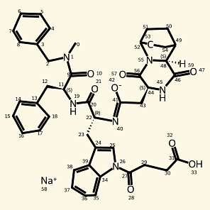 CN(Cc1ccccc1)C(=O)[C@H](Cc1ccccc1)NC(=O)[C@@H](Cc1cn(C(=O)CCC(=O)O)c2ccccc12)N=C([O-])C[C@@H]1NC(=O)[C@@H]2C3CCC(CC3)N2C1=O.[Na+]